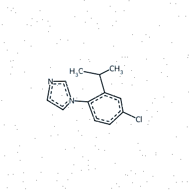 CC(C)c1cc(Cl)ccc1-n1ccnc1